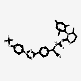 Cc1cc(C)c(N2/C(=N/C(=O)NC(C#N)c3ccc(-c4ncn(-c5ccc(OC(F)(F)F)cc5)n4)cc3)SCCC2C)c(C)c1